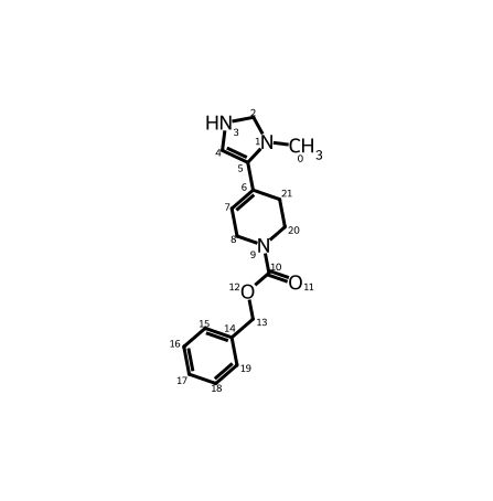 CN1CNC=C1C1=CCN(C(=O)OCc2ccccc2)CC1